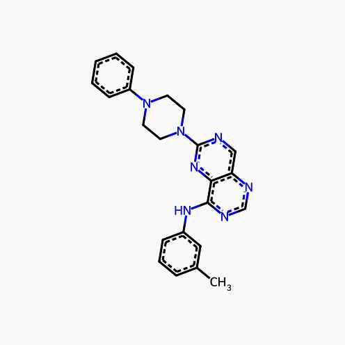 Cc1cccc(Nc2ncnc3cnc(N4CCN(c5ccccc5)CC4)nc23)c1